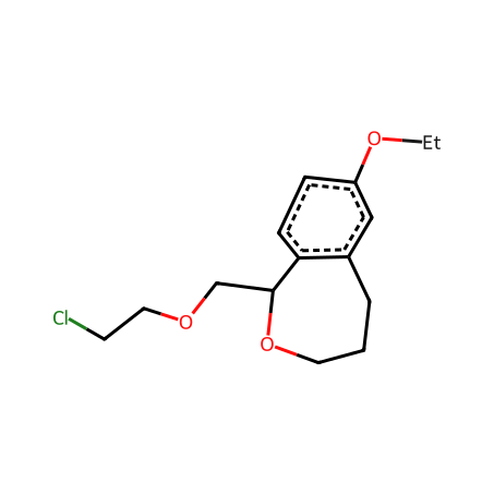 CCOc1ccc2c(c1)CCCOC2COCCCl